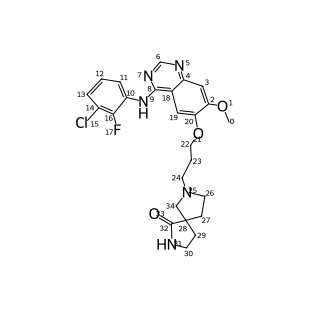 COc1cc2ncnc(Nc3cccc(Cl)c3F)c2cc1OCCCN1CCC2(CCNC2=O)C1